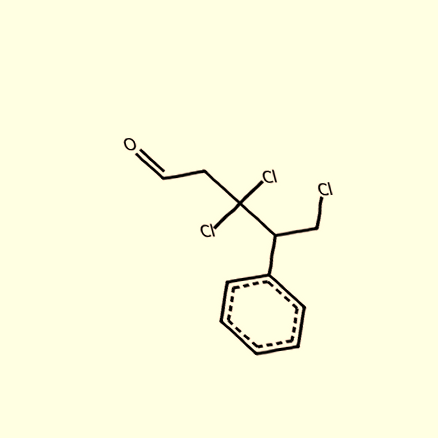 O=CCC(Cl)(Cl)C(CCl)c1ccccc1